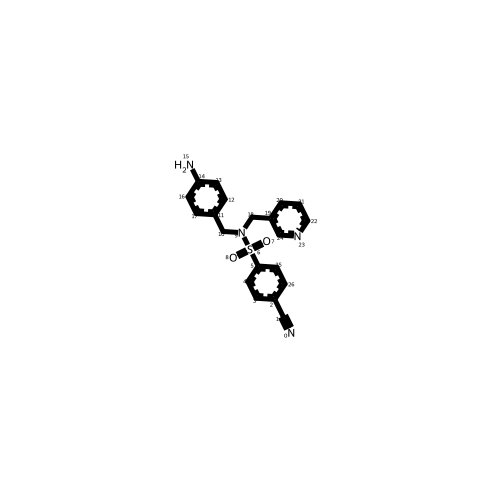 N#Cc1ccc(S(=O)(=O)N(Cc2ccc(N)cc2)Cc2cccnc2)cc1